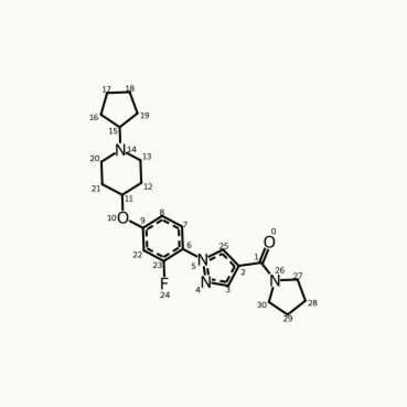 O=C(c1cnn(-c2ccc(OC3CCN(C4CCCC4)CC3)cc2F)c1)N1CCCC1